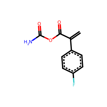 C=C(C(=O)OC(N)=O)c1ccc(F)cc1